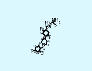 NC(=S)NN=Cc1cc(F)c(N2CCN(Cc3ccc(F)cc3Cl)CC2)cc1F